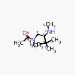 CN[C@H](CN(C)C(C)=O)C(C)(C)C